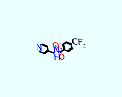 O=C(c1ccc(C(F)(F)F)cc1)[NH+]([O-])Cc1ccncc1